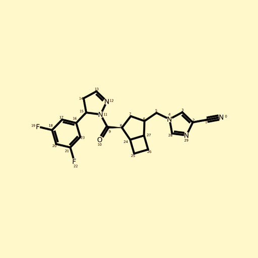 N#Cc1cn(CC2C[C@H](C(=O)N3N=CCC3c3cc(F)cc(F)c3)C3CCC23)cn1